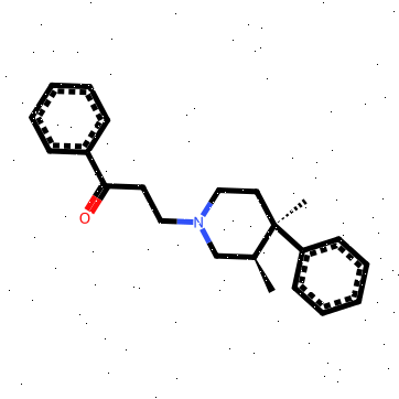 C[C@H]1CN(CCC(=O)c2ccccc2)CC[C@@]1(C)c1ccccc1